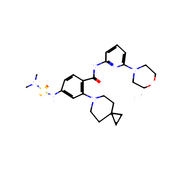 C[C@@H]1CN(c2cccc(NC(=O)c3ccc(NS(=O)(=O)N(C)C)cc3N3CCC4(CC3)CC4)n2)CCO1